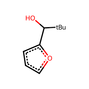 CC(C)(C)C(O)c1ccco1